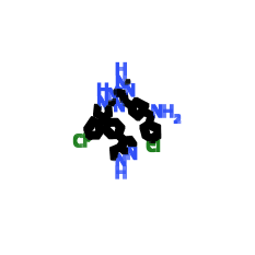 Clc1ccc(C2(c3ccc(-c4ccnc5[nH]ccc45)cc3)CCNCC2)cc1.NC(c1ccc(Cl)cc1)c1ccc(-c2ncnc3[nH]cnc23)cc1